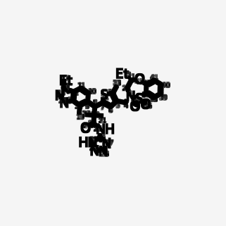 CC[C@@H]1CN(Cc2cc(C(c3ccc4c(nnn4CC)c3C)C(C)(C)C(=O)Nc3nnn[nH]3)sc2C)S(=O)(=O)c2ccccc2O1